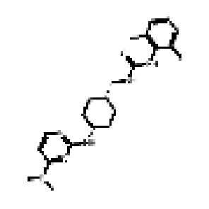 Cc1cccc(C)c1NC(=O)NC[C@H]1CC[C@@H](Nc2nccc(N(C)C)n2)CC1